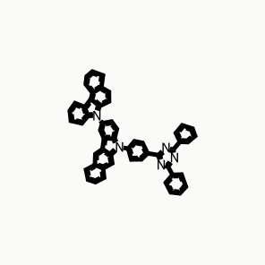 c1ccc(-c2nc(-c3ccccc3)nc(-c3ccc(-n4c5ccc(-n6c7ccccc7c7c8ccccc8ccc76)cc5c5cc6ccccc6cc54)cc3)n2)cc1